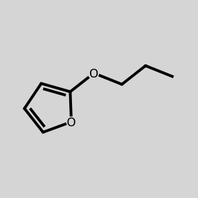 CCCOc1ccco1